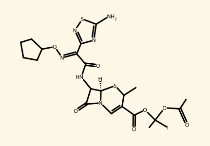 CC(=O)OC(C)(I)OC(=O)C1=CN2C(=O)C(NC(=O)C(=NOC3CCCC3)c3nsc(N)n3)[C@H]2SC1C